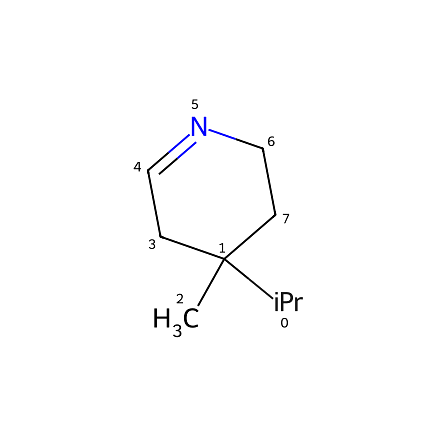 CC(C)C1(C)CC=NCC1